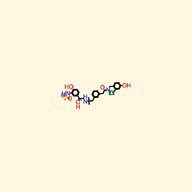 CCN(Cc1ccc(O)cc1Cl)C(=O)Cc1cccc(CC(C)(C)NC[C@H](O)c2ccc(O)c(NS(C)(=O)=O)c2)c1